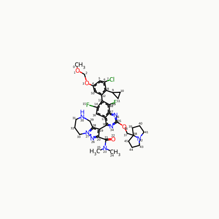 COCOc1cc(Cl)c(C2CC2)c(-c2c(F)cc3c(-c4c(C(=O)N(C)C)nn5c4CNCCC5)nc(OCC45CCCN4CCC5)nc3c2F)c1